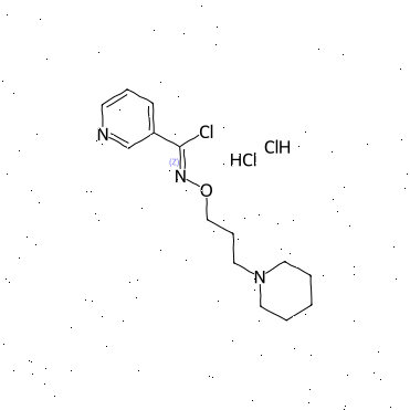 Cl.Cl.Cl/C(=N\OCCCN1CCCCC1)c1cccnc1